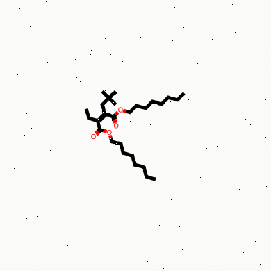 CCCCCCCCOC(=O)C(CC)=C(CC(C)(C)C)C(=O)OCCCCCCCC